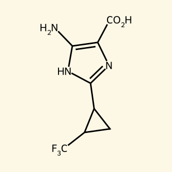 Nc1[nH]c(C2CC2C(F)(F)F)nc1C(=O)O